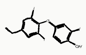 CCc1cc(I)c(Oc2ccc(O)c(I)c2)c(I)c1